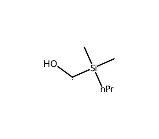 CCC[Si](C)(C)[CH]O